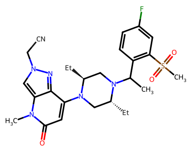 CC[C@H]1CN(C(C)c2ccc(F)cc2S(C)(=O)=O)[C@H](CC)CN1c1cc(=O)n(C)c2cn(CC#N)nc12